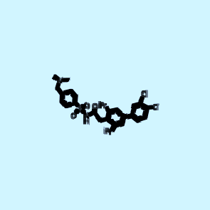 CC(C)c1cc(-c2ccc(Cl)c(Cl)c2)cc(C(C)C)c1CC(=O)NS(=O)(=O)c1ccc(CN(C)C)cc1